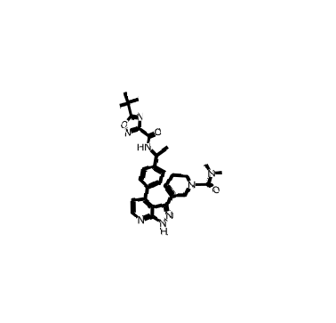 CC(NC(=O)c1noc(C(C)(C)C)n1)c1ccc(-c2ccnc3[nH]nc(C4=CCCN(C(=O)N(C)C)C4)c23)cc1